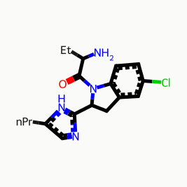 CCCc1cnc(C2Cc3cc(Cl)ccc3N2C(=O)C(N)CC)[nH]1